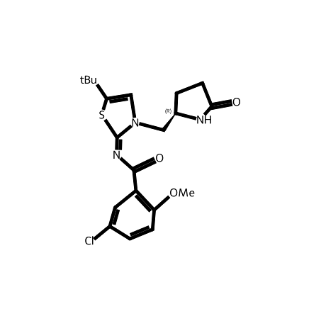 COc1ccc(Cl)cc1C(=O)N=c1sc(C(C)(C)C)cn1C[C@H]1CCC(=O)N1